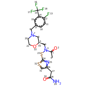 CC(=O)N(C[C@@H]1CN(Cc2ccc(F)c(C(F)(F)F)c2)CCO1)Sc1nc(CC(N)=O)cs1